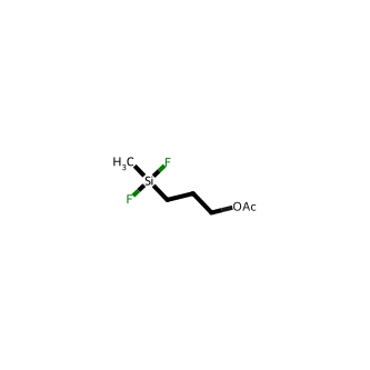 CC(=O)OCCC[Si](C)(F)F